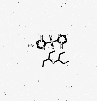 Br.CCC(CC)OC(CC)CC.O=S(=O)(c1ncc[nH]1)c1ncc[nH]1